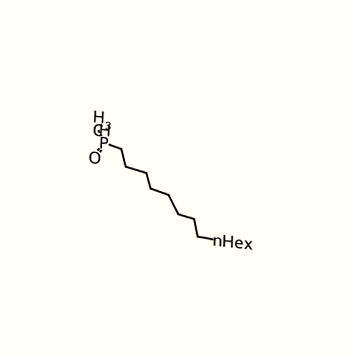 CCCCCCCCCCCCCC[PH](C)=O